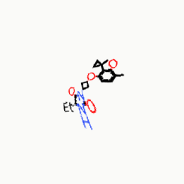 CC[C@H]1NC(=O)N(C2CC(Oc3ccc(C)c4c3C3(CC3)CO4)C2)C1=O